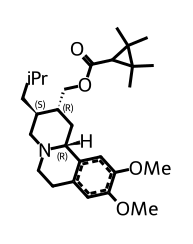 COc1cc2c(cc1OC)[C@H]1C[C@@H](COC(=O)C3C(C)(C)C3(C)C)[C@H](CC(C)C)CN1CC2